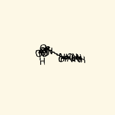 C[C@H]1CCCN1Cc1nc2cc(NC(=O)c3ccc(C(=O)NCCCCCCCCNc4cccc5c4C(=O)N(C4CCC(=O)NC4=O)C5=O)cc3)ccc2[nH]1